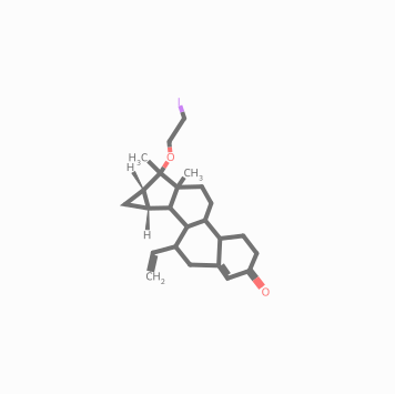 C=CC1CC2=CC(=O)CCC2C2CCC3(C)C(C12)[C@@H]1C[C@@H]1C3(C)OCCI